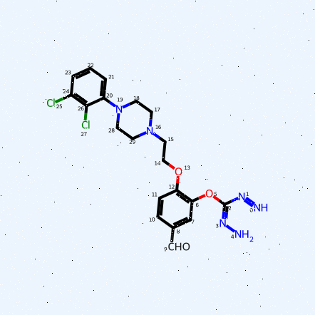 N=NC(=NN)Oc1cc(C=O)ccc1OCCN1CCN(c2cccc(Cl)c2Cl)CC1